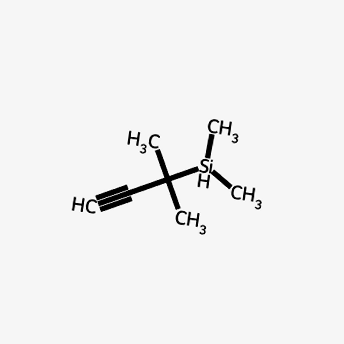 C#CC(C)(C)[SiH](C)C